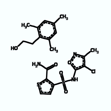 Cc1cc(C)c(CCO)c(C)c1.Cc1noc(NS(=O)(=O)c2ccsc2C(N)=O)c1Cl